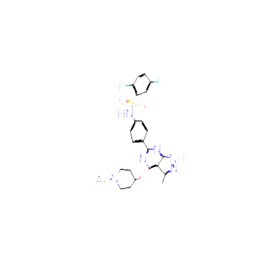 CC(=O)N1CCC(Oc2nc(-c3ccc(NS(=O)(=O)c4cc(F)ccc4F)cc3)nc3[nH]nc(C)c23)CC1